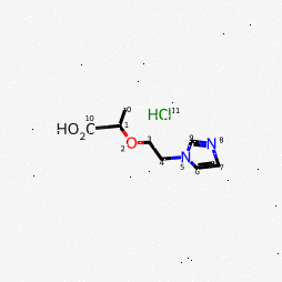 CC(OCCn1ccnc1)C(=O)O.Cl